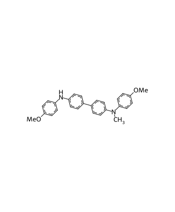 COc1ccc(Nc2ccc(-c3ccc(N(C)c4ccc(OC)cc4)cc3)cc2)cc1